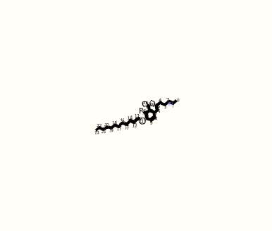 C/C=C/CCc1cc2ccc(OCCCCCCCCCCCC)c(F)c2c(=O)o1